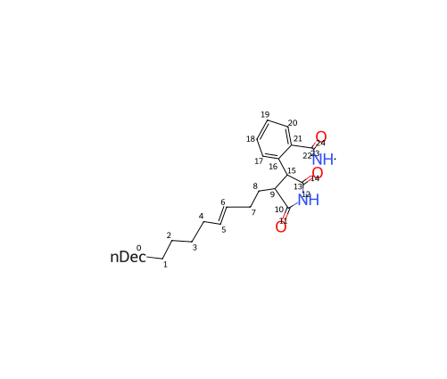 CCCCCCCCCCCCCCC=CCCC1C(=O)NC(=O)C1c1ccccc1C([NH])=O